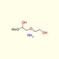 COC(O)COCCO.N